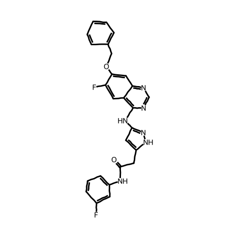 O=C(Cc1cc(Nc2ncnc3cc(OCc4ccccc4)c(F)cc23)n[nH]1)Nc1cccc(F)c1